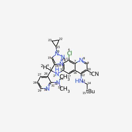 [2H]C(Nc1cc(Cl)c2ncc(C#N)c(NCC(C)(C)C)c2c1)(c1cn(C2CC2)nn1)c1cccnc1N(C)C